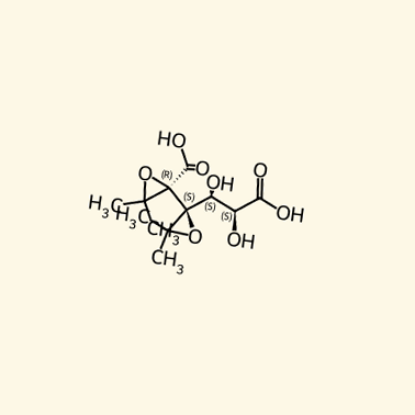 CC1(C)O[C@@]1(C(=O)O)[C@@]1([C@@H](O)[C@H](O)C(=O)O)OC1(C)C